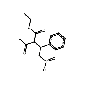 CCOC(=O)C(C(C)=O)[C@H](C[N+](=O)[O-])c1ccccc1